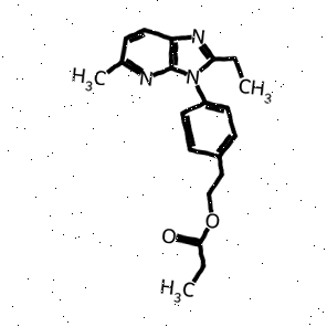 CCC(=O)OCCc1ccc(-n2c(CC)nc3ccc(C)nc32)cc1